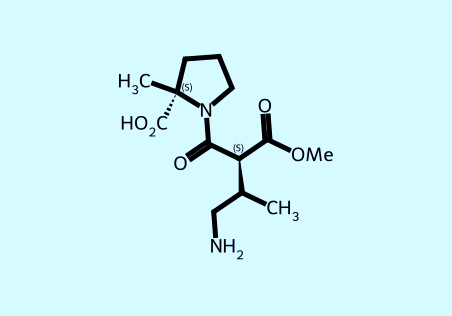 COC(=O)[C@H](C(=O)N1CCC[C@@]1(C)C(=O)O)C(C)CN